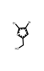 CCc1sc(CO)cc1Br